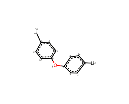 [Li][c]1ccc(Oc2cc[c]([Li])cc2)cc1